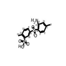 Cc1ccc(S(=O)(=O)c2ccc(C)c(S(=O)(=O)O)c2)c(N)c1